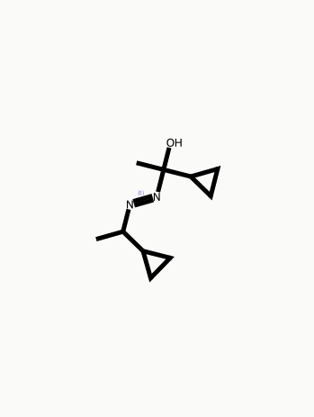 CC(/N=N/C(C)(O)C1CC1)C1CC1